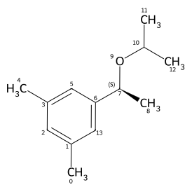 Cc1cc(C)cc([C@H](C)OC(C)C)c1